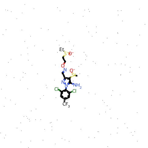 CC[S+]([O-])CCON=Cc1nn(-c2c(Cl)cc(C(F)(F)F)cc2Cl)c(N)c1[S+](C)[O-]